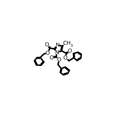 Cc1nc(C(=O)OCc2ccccc2)n(C(=O)OCc2ccccc2)c1C(=O)OCc1ccccc1